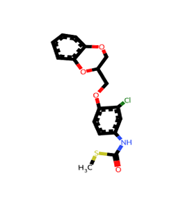 CSC(=O)Nc1ccc(OCC2COc3ccccc3O2)c(Cl)c1